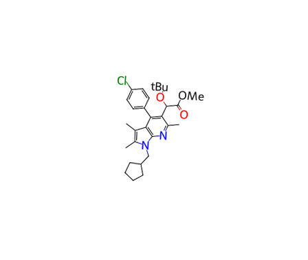 COC(=O)C(OC(C)(C)C)c1c(C)nc2c(c(C)c(C)n2CC2CCCC2)c1-c1ccc(Cl)cc1